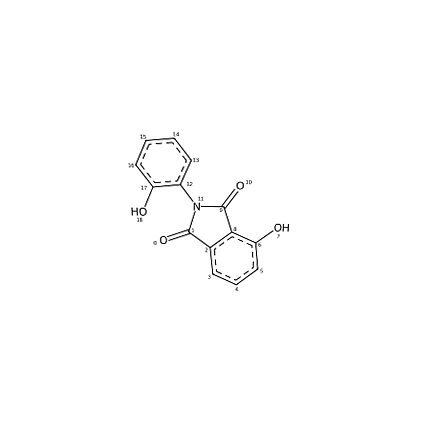 O=C1c2cccc(O)c2C(=O)N1c1ccccc1O